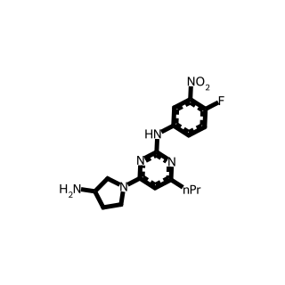 CCCc1cc(N2CCC(N)C2)nc(Nc2ccc(F)c([N+](=O)[O-])c2)n1